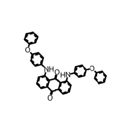 O=C1c2cccc(Nc3ccc(Oc4ccccc4)cc3)c2C(=O)c2c(Nc3ccc(Oc4ccccc4)cc3)cccc21